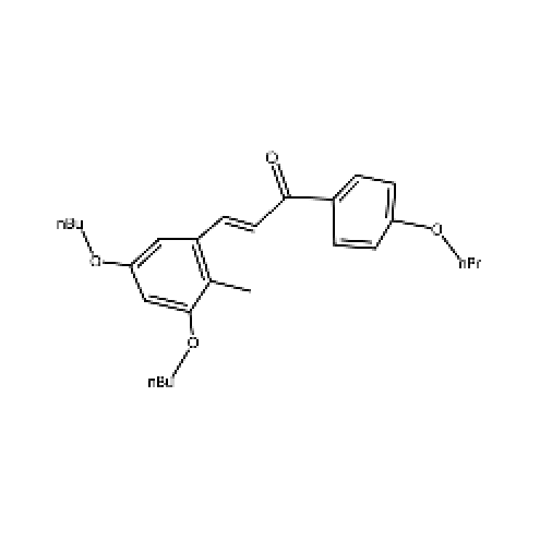 CCCCOc1cc(C=CC(=O)c2ccc(OCCC)cc2)c(C)c(OCCCC)c1